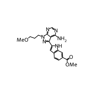 COCCCn1nc(-c2cc3ccc(C(=O)OC)cc3[nH]2)c2c(N)ncnc21